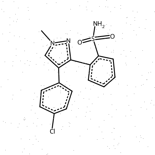 Cn1cc(-c2ccc(Cl)cc2)c(-c2ccccc2S(N)(=O)=O)n1